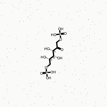 O=C(COP(=O)(O)O)[C@@H](O)[C@H](O)[C@@H](O)COP(=O)(O)O